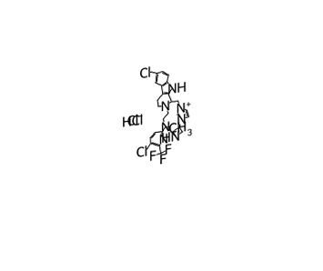 CN(CCN1CCc2c([nH]c3ccc(Cl)cc23)C1C[n+]1ccn(C2CNC2)c1)c1ccc(Cl)c(C(F)(F)F)n1.Cl.[Cl-]